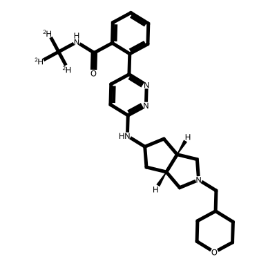 [2H]C([2H])([2H])NC(=O)c1ccccc1-c1ccc(NC2C[C@@H]3CN(CC4CCOCC4)C[C@@H]3C2)nn1